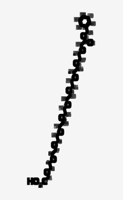 O=C(O)COCCOCCOCCOCCOCCOCCOCCOCCOCCOCC(=O)OCc1ccccc1